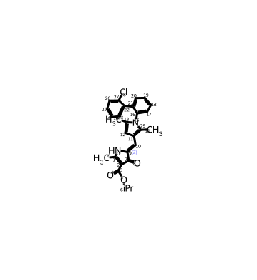 CC1=C(C(=O)OC(C)C)C(=O)/C(=C/c2cc(C)n(-c3ccccc3-c3ccccc3Cl)c2C)N1